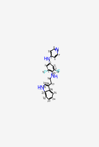 Fc1cc(Nc2ccncc2)cc(F)c1NCCc1c[nH]c2ccccc12